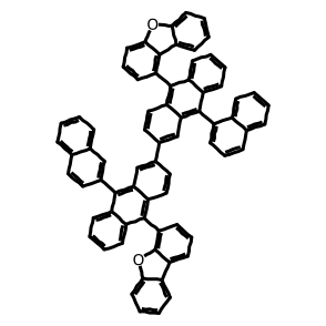 c1ccc2cc(-c3c4ccccc4c(-c4cccc5c4oc4ccccc45)c4ccc(-c5ccc6c(-c7cccc8oc9ccccc9c78)c7ccccc7c(-c7cccc8ccccc78)c6c5)cc34)ccc2c1